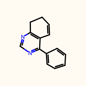 C1=Cc2c(ncnc2-c2ccccc2)CC1